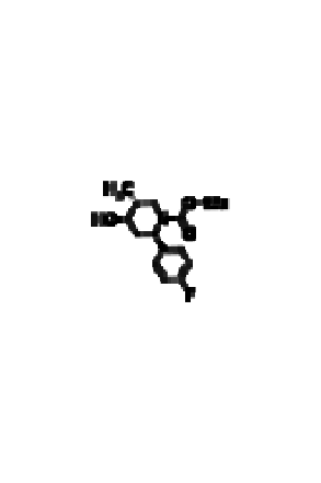 C[C@@H]1CN(C(=O)OC(C)(C)C)[C@@H](c2ccc(F)cc2)C[C@H]1O